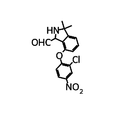 CC1(C)NC(C=O)c2c(Oc3ccc([N+](=O)[O-])cc3Cl)cccc21